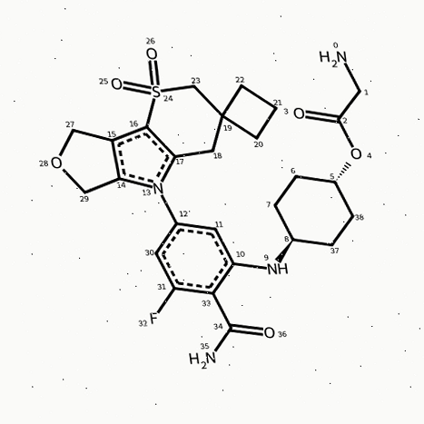 NCC(=O)O[C@H]1CC[C@H](Nc2cc(-n3c4c(c5c3CC3(CCC3)CS5(=O)=O)COC4)cc(F)c2C(N)=O)CC1